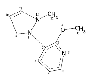 COc1ncccc1N1CC=CN1C